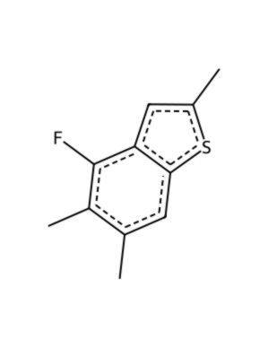 Cc1cc2c(F)c(C)c(C)cc2s1